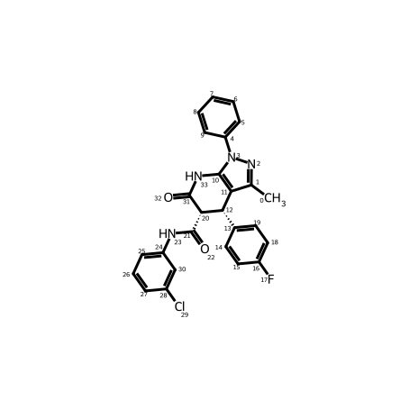 Cc1nn(-c2ccccc2)c2c1[C@H](c1ccc(F)cc1)[C@H](C(=O)Nc1cccc(Cl)c1)C(=O)N2